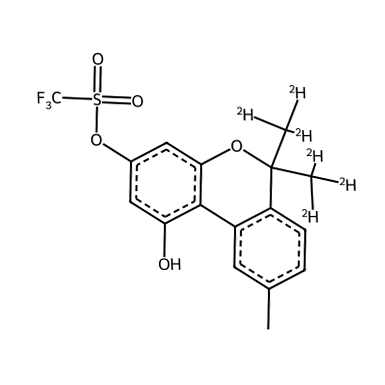 [2H]C([2H])([2H])C1(C([2H])([2H])[2H])Oc2cc(OS(=O)(=O)C(F)(F)F)cc(O)c2-c2cc(C)ccc21